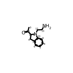 CC(=O)C1Cc2ccccc2N1CCN